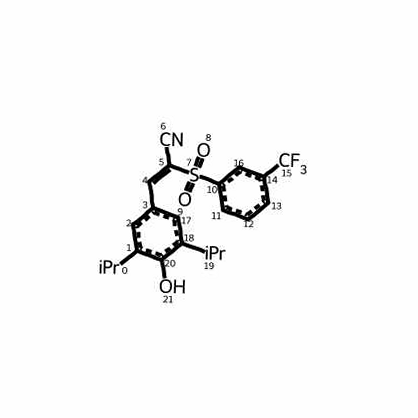 CC(C)c1cc(/C=C(/C#N)S(=O)(=O)c2cccc(C(F)(F)F)c2)cc(C(C)C)c1O